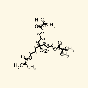 C=C(C)C(=O)OCCCC(CCCOC(=O)C(=C)C)(CCCOC(=O)C(=C)C)[O][Zr]